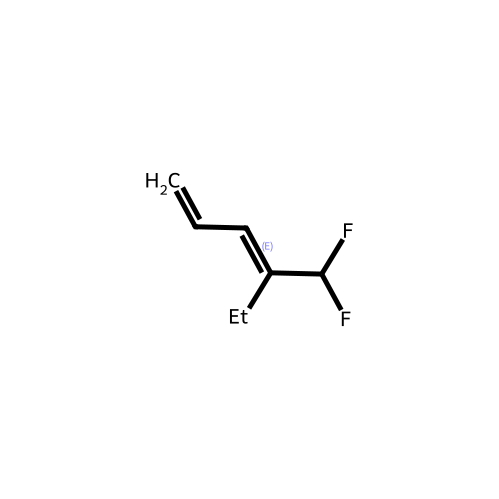 C=C/C=C(\CC)C(F)F